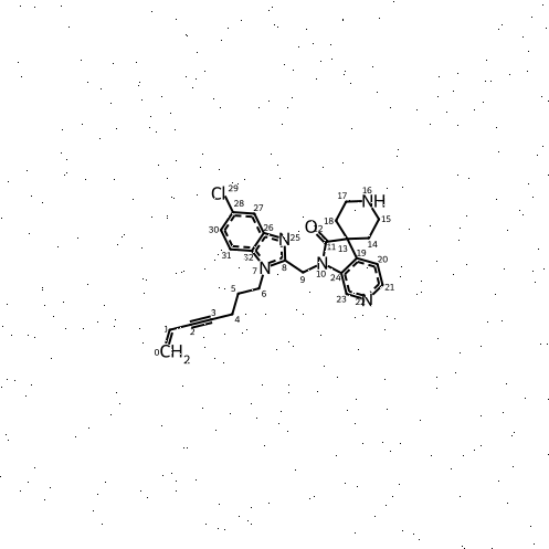 C=CC#CCCCn1c(CN2C(=O)C3(CCNCC3)c3ccncc32)nc2cc(Cl)ccc21